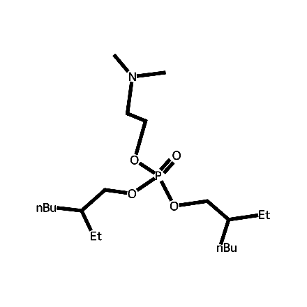 CCCCC(CC)COP(=O)(OCCN(C)C)OCC(CC)CCCC